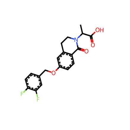 CC(C(=O)O)N1CCc2cc(OCc3ccc(F)c(F)c3)ccc2C1=O